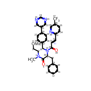 COCCN(C)C(=O)[C@H](Cc1ccccc1)N(Cc1ccc(-c2cncnc2)cc1)C(=O)/C=C/c1ccc(C(F)(F)F)cn1